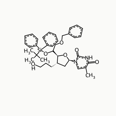 Cc1cn([C@H]2C[C@H](CCCO)[C@@H](C(COCc3ccccc3)O[Si](c3ccccc3)(c3ccccc3)C(C)(C)C)O2)c(=O)[nH]c1=O